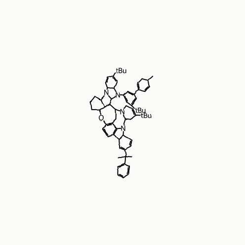 CC1C=CC(c2cc(N3C4C=C(C(C)(C)C)C=CC4N4C5CCCC6(C)Oc7ccc8c9c7CC(C(C34)C56)N3CC=C(C(C)(C)C)CC3N9C3C=CC(C(C)(C)c4ccccc4)=CC83)cc(C(C)(C)C)c2)=CC1